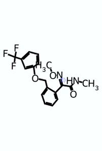 CNC(=O)/C(=N/OC)c1ccccc1COc1cccc(C(F)(F)F)c1